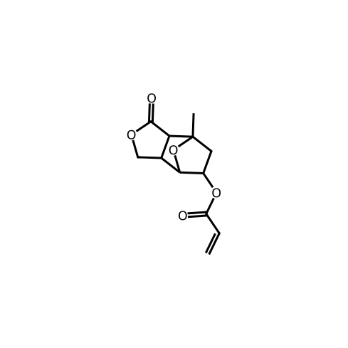 C=CC(=O)OC1CC2(C)OC1C1COC(=O)C12